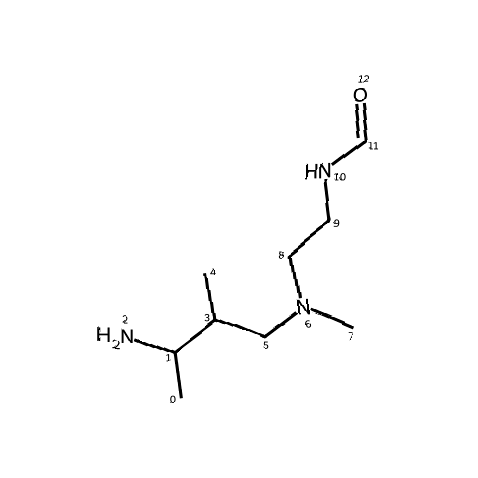 CC(N)C(C)CN(C)CCNC=O